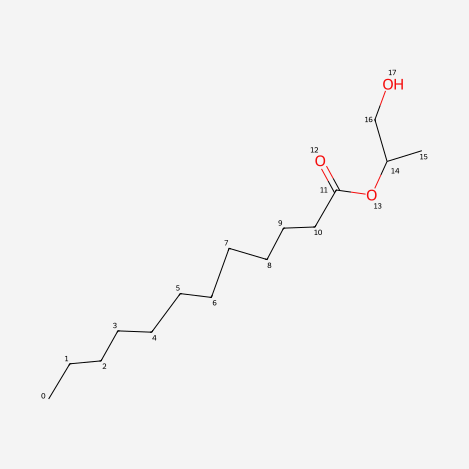 CCCCCCCCCCCC(=O)OC(C)CO